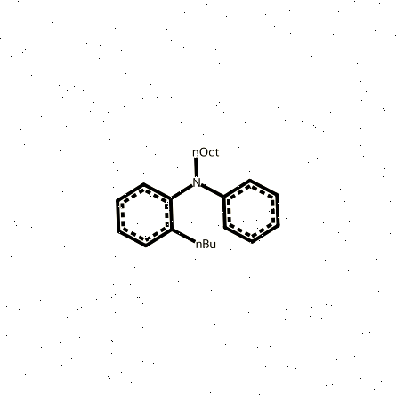 CCCCCCCCN(c1ccccc1)c1ccccc1CCCC